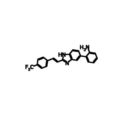 Nc1ccccc1-c1ccc2[nH]c(C=Cc3ccc(C(F)(F)F)cc3)nc2c1